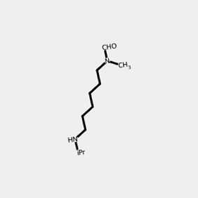 CC(C)NCCCCCCN(C)C=O